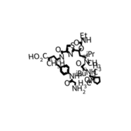 CCNC(=O)OC(C[C@H](C(C)C)N(C)C(=O)[C@@H](NC(=O)[C@@]1(C)CCCN1C)[C@@H](C)CC)c1nc(C(=O)N[C@@H](Cc2ccc(NC(=O)CN)cc2)C[C@H](C)C(=O)O)cs1